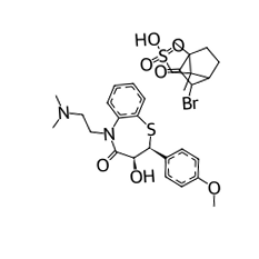 CC12CCC(C(Br)C1=O)C2(C)CS(=O)(=O)O.COc1ccc([C@@H]2Sc3ccccc3N(CCN(C)C)C(=O)[C@@H]2O)cc1